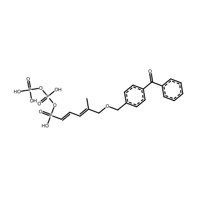 C/C(=C\C=C\P(=O)(O)OP(=O)(O)OP(=O)(O)O)COCc1ccc(C(=O)c2ccccc2)cc1